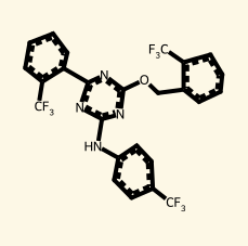 FC(F)(F)c1ccc(Nc2nc(OCc3ccccc3C(F)(F)F)nc(-c3ccccc3C(F)(F)F)n2)cc1